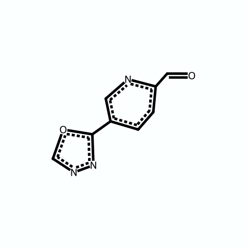 O=Cc1ccc(-c2nnco2)cn1